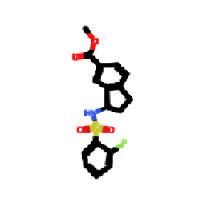 COC(=O)c1ccc2c(c1)[C@H](NS(=O)(=O)c1ccccc1F)CC2